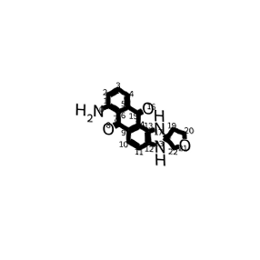 Nc1cccc2c1C(=O)c1ccc3c(c1C2=O)NC1(CCOC1)N3